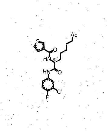 CC(=O)CCCCC[C@H](NC(=O)c1ccsc1)C(=O)Nc1ccc(F)c(Cl)c1